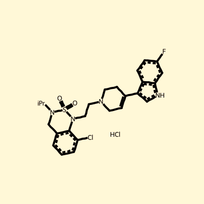 CC(C)N1Cc2cccc(Cl)c2N(CCN2CC=C(c3c[nH]c4cc(F)ccc34)CC2)S1(=O)=O.Cl